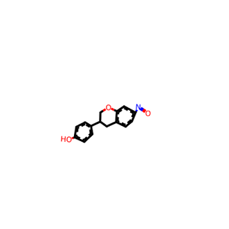 O=Nc1ccc2c(c1)OCC(c1ccc(O)cc1)C2